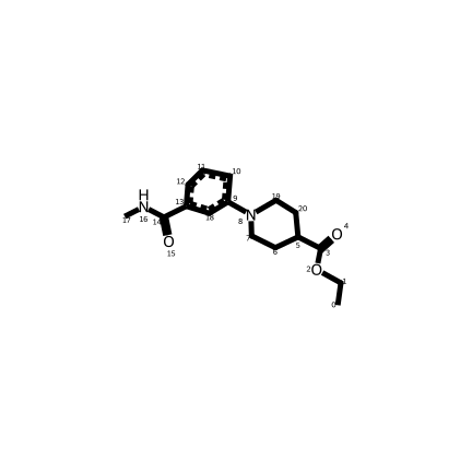 CCOC(=O)C1CCN(c2cccc(C(=O)NC)c2)CC1